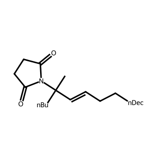 CCCCCCCCCCCCC=CC(C)(CCCC)N1C(=O)CCC1=O